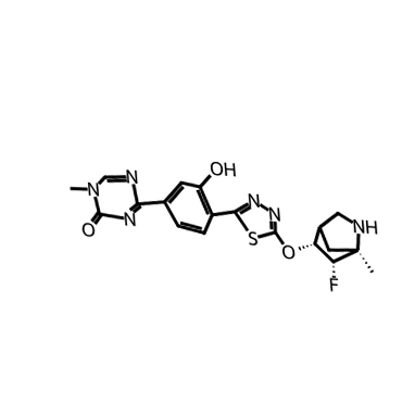 Cn1cnc(-c2ccc(-c3nnc(O[C@@H]4C5CN[C@](C)(C5)[C@@H]4F)s3)c(O)c2)nc1=O